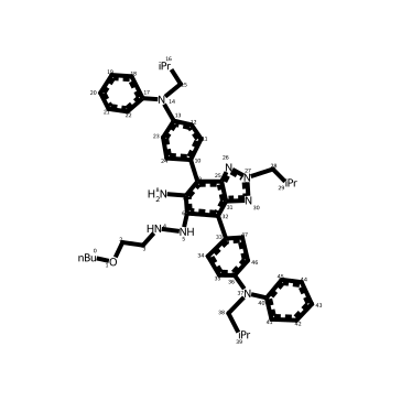 CCCCOCCNNc1c(N)c(-c2ccc(N(CC(C)C)c3ccccc3)cc2)c2nn(CC(C)C)nc2c1-c1ccc(N(CC(C)C)c2ccccc2)cc1